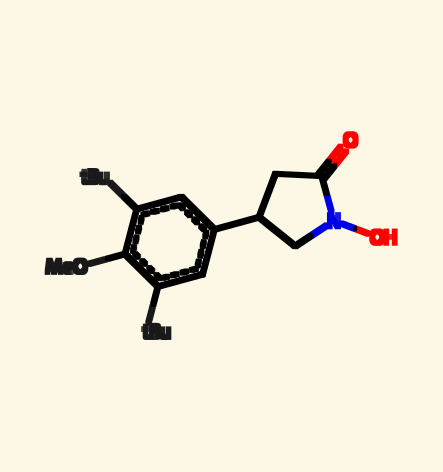 COc1c(C(C)(C)C)cc(C2CC(=O)N(O)C2)cc1C(C)(C)C